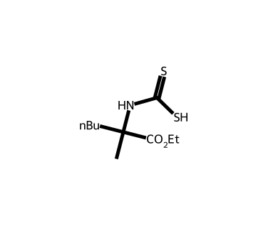 CCCCC(C)(NC(=S)S)C(=O)OCC